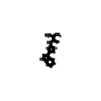 CN(C)C(=O)Nc1nc(-c2c[nH]c3ncccc23)cs1